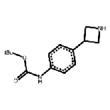 CC(C)(C)OC(=O)Nc1ccc(C2CNC2)cc1